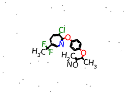 C=C(N=O)C(C)Oc1ccc(OC2=NC=C(C(C)(F)F)CC=C2Cl)cc1